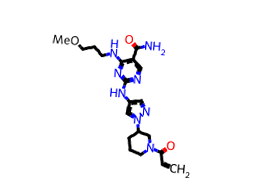 C=CC(=O)N1CCCC(n2cc(Nc3ncc(C(N)=O)c(NCCCOC)n3)cn2)C1